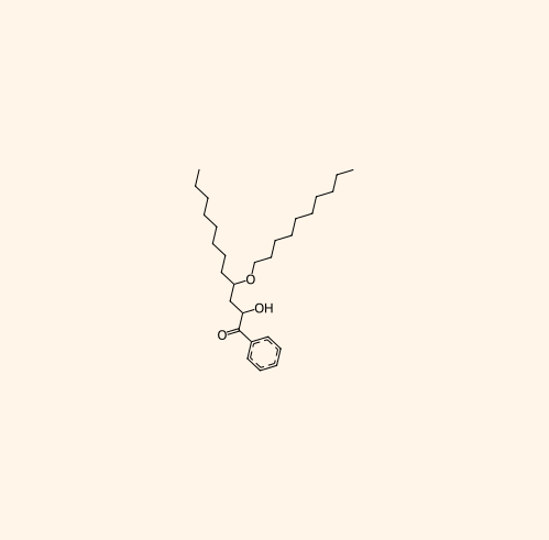 CCCCCCCCCCOC(CCCCCCCC)CC(O)C(=O)c1ccccc1